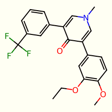 CCOc1cc(-c2cn(C)cc(-c3cccc(C(F)(F)F)c3)c2=O)ccc1OC